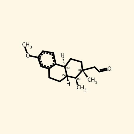 COc1ccc2c(c1)CC[C@@H]1[C@@H]2CC[C@](C)(CC=O)[C@H]1C